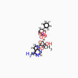 C[C@@]1(O)[C@H](O)[C@@H](COP2(=O)OCC[C@H](c3ccccc3)O2)O[C@H]1n1ccc2c(N)ncnc21